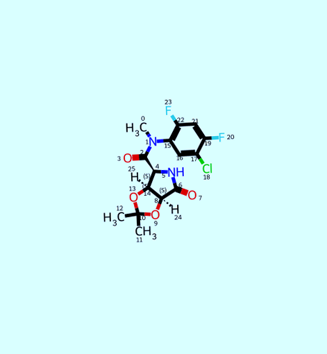 CN(C(=O)[C@H]1NC(=O)[C@H]2OC(C)(C)O[C@@H]12)c1cc(Cl)c(F)cc1F